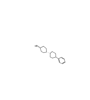 CCC[C@H]1CC[C@H](C2CCC(c3cc[c]cc3)CC2)CC1